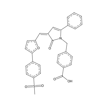 CS(=O)(=O)c1ccc(-c2ccc(C=C3C=C(c4ccccc4)N(Cc4ccc(C(=O)O)cc4)C3=O)o2)cc1